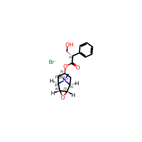 CCCC[N+]1(C)[C@@H]2C[C@@H](OC(=O)[C@H](CO)c3ccccc3)C[C@H]1[C@@H]1O[C@@H]12.[Br-]